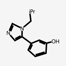 CC(C)Cn1cncc1-c1cccc(O)c1